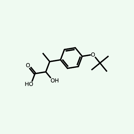 CC(c1ccc(OC(C)(C)C)cc1)C(O)C(=O)O